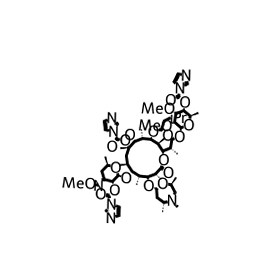 CON=C1C[C@@H](C)O[C@@H](O[C@@H]2[C@@H](C)[C@H](O[C@H]3C[C@@H](C)N(C)C[C@H](C)O3)[C@@H](C)C(=O)O[C@H]([C@@H](C)CO[C@@H]3O[C@H](C)[C@@H](OC(=O)n4ccnc4)[C@@H](OC)[C@H]3OC)[C@H](C)[C@@H](OC(=O)CC(C)C)[C@@H](C)C(=O)[C@@](C)(OC(=O)n3ccnc3)C[C@@H]2C)[C@@H]1OC(=O)n1ccnc1